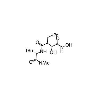 CNC(=O)[C@@H](NC(=O)C(CC(C)C)[C@H](O)C(=O)NO)C(C)(C)C